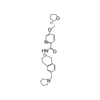 O=C(N[C@H]1CCc2cc(CN3CCCC3)ccc2C1)c1ccc(OC[C@@H]2CCCO2)cn1